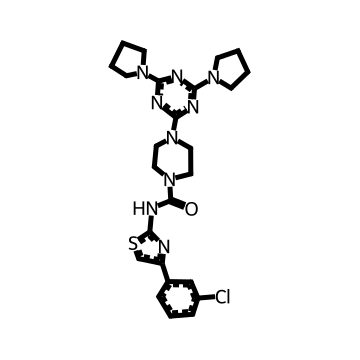 O=C(Nc1nc(-c2cccc(Cl)c2)cs1)N1CCN(c2nc(N3CCCC3)nc(N3CCCC3)n2)CC1